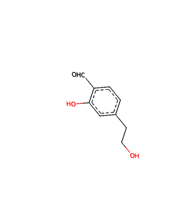 O=Cc1ccc(CCO)cc1O